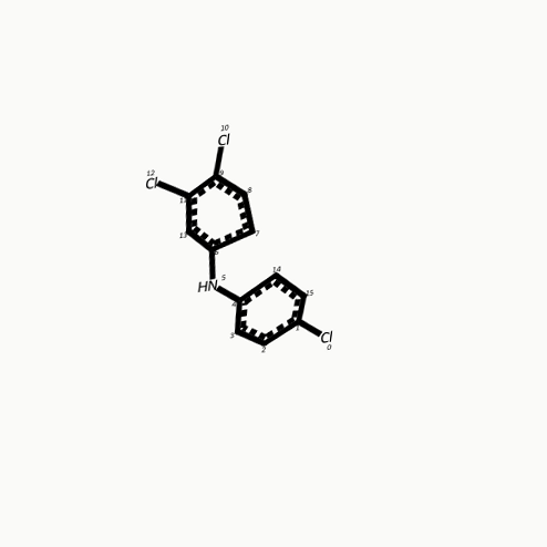 Clc1ccc(Nc2ccc(Cl)c(Cl)c2)cc1